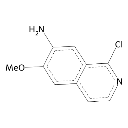 COc1cc2ccnc(Cl)c2cc1N